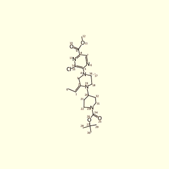 C/C=C1\CN(c2ncc(C(=O)OC)nc2Cl)[C@H](C)CN1C1CCN(C(=O)OC(C)(C)C)CC1